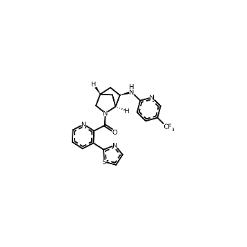 O=C(c1ncccc1-c1nccs1)N1C[C@@H]2C[C@@H](Nc3ccc(C(F)(F)F)cn3)[C@@H]1C2